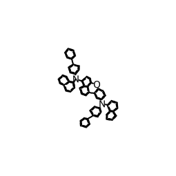 c1ccc(-c2ccc(N(c3ccc4c(c3)-c3cccc5c(N(c6ccc(-c7ccccc7)cc6)c6cccc7ccccc67)ccc(c35)O4)c3cccc4ccccc34)cc2)cc1